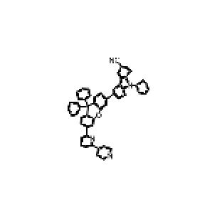 N#Cc1ccc2c(c1)c1cc(-c3ccc4c(c3)Oc3cc(-c5cccc(-c6ccncc6)n5)ccc3C4(c3ccccc3)c3ccccc3)ccc1n2-c1ccccc1